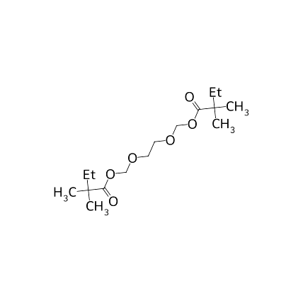 CCC(C)(C)C(=O)OCOCCOCOC(=O)C(C)(C)CC